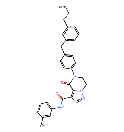 CNCCc1cccc(Cc2ccc(N3CCn4ncc(C(=O)Nc5cccc(C#N)c5)c4C3=O)cc2)c1